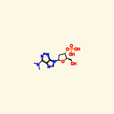 CN(C)c1ncnc2c1ncn2[C@H]1C[C@H](OP(=O)(O)O)[C@@H](CO)O1